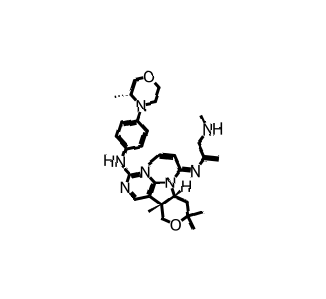 C=C(CNC)/N=C(\C=C/C)N1c2nc(Nc3ccc(N4CCOC[C@H]4C)cc3)ncc2[C@@]2(C)COC(C)(C)C[C@@H]12